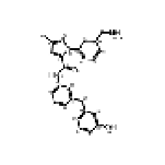 Cc1cc(C(=O)Nc2cccc(Cc3cccc(O)c3)c2)n(-c2cccc(CN)c2)n1